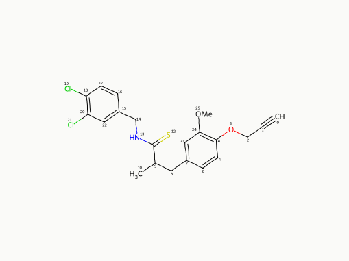 C#CCOc1ccc(CC(C)C(=S)NCc2ccc(Cl)c(Cl)c2)cc1OC